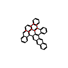 c1ccc(-c2c(-c3cccc4ccccc34)c(-c3cccc4ccccc34)cc3cc4ccccc4cc23)c(-c2cccc3ccccc23)c1